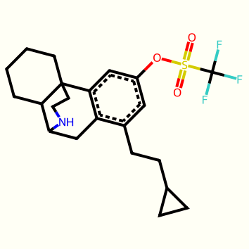 O=S(=O)(Oc1cc(CCC2CC2)c2c(c1)C13CCCCC1C(C2)NCC3)C(F)(F)F